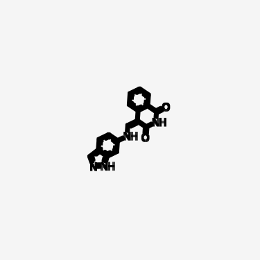 O=C1NC(=O)c2ccccc2C1=CNc1ccc2cn[nH]c2c1